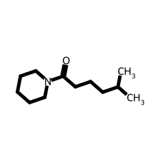 CC(C)CCCC(=O)N1CCCCC1